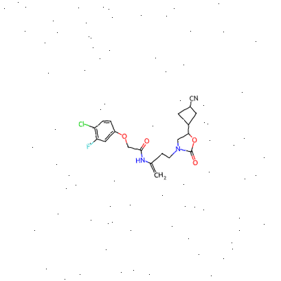 C=C(CCN1CC(C2CC(C#N)C2)OC1=O)NC(=O)COc1ccc(Cl)c(F)c1